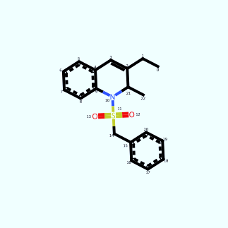 CCC1=Cc2ccccc2N(S(=O)(=O)Cc2ccccc2)C1C